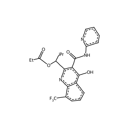 CCC(=O)OC(c1nc2c(C(F)(F)F)cccc2c(O)c1C(=O)Nc1ccccn1)C(C)C